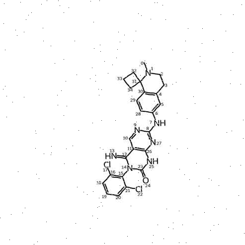 CN1CCc2cc(Nc3ncc4c(=N)n(-c5c(Cl)cccc5Cl)c(=O)[nH]c4n3)ccc2C12CCC2